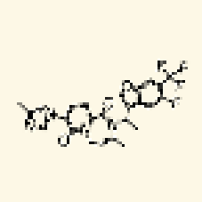 CC1=CCn2c(ccc(-n3cnc(C)c3)c2=O)C(=O)N1C(C)c1coc2cc(C(F)(F)F)c(F)cc12